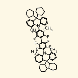 Cc1cccc2c1N(c1c(F)c(F)c(-c3c(F)c(F)c(N4c5c(C)cccc5C(C5CCCCC5)(C5CCCCC5)c5cccc(C)c54)c(F)c3F)c(F)c1F)c1c(C)cccc1C2(C1CCCCC1)C1CCCCC1